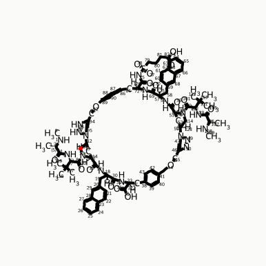 CN[C@@H](C)C(=O)N[C@H](C(=O)N1C[C@@H]2C[C@H]1C(=O)N[C@@H](Cc1ccc3ccccc3c1)C(=O)N[C@H](C(=O)O)Cc1ccc(cc1)OCc1cn(nn1)[C@H]1C[C@@H](C(=O)N[C@@H](Cc3ccc4ccccc4c3)C(=O)N[C@H](C(=O)NS(=O)(=O)CCCC(=O)O)Cc3ccc(cc3)OCC3=CN2NN3)N(C(=O)[C@@H](NC(=O)[C@H](C)NC)C(C)(C)C)C1)C(C)(C)C